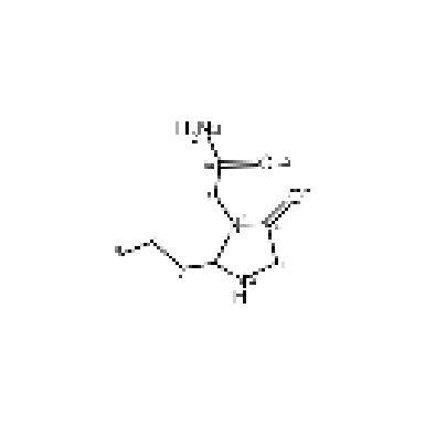 CCCC1NCC(=O)N1CC(N)=O